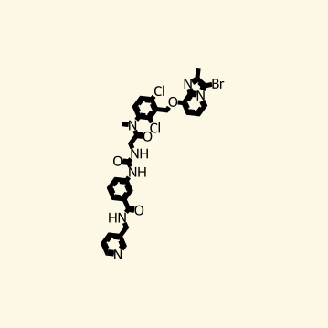 Cc1nc2c(OCc3c(Cl)ccc(N(C)C(=O)CNC(=O)Nc4cccc(C(=O)NCc5cccnc5)c4)c3Cl)cccn2c1Br